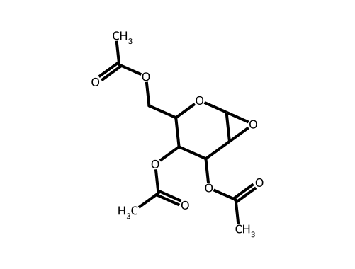 CC(=O)OCC1OC2OC2C(OC(C)=O)C1OC(C)=O